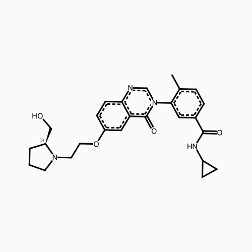 Cc1ccc(C(=O)NC2CC2)cc1-n1cnc2ccc(OCCN3CCC[C@H]3CO)cc2c1=O